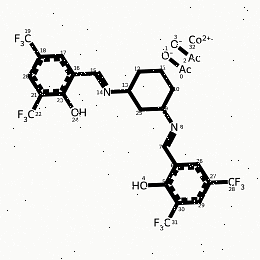 CC(=O)[O-].CC(=O)[O-].Oc1c(C=NC2CCCC(N=Cc3cc(C(F)(F)F)cc(C(F)(F)F)c3O)C2)cc(C(F)(F)F)cc1C(F)(F)F.[Co+2]